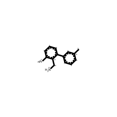 CCCc1cccc(-c2cccc(C)c2)c1CN